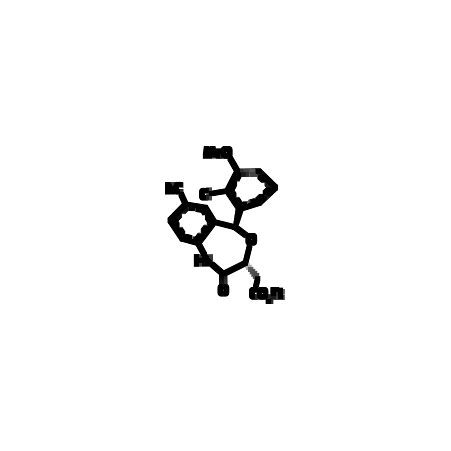 CCOC(=O)C[C@H]1O[C@H](c2cccc(OC)c2Cl)c2cc(C#N)ccc2NC1=O